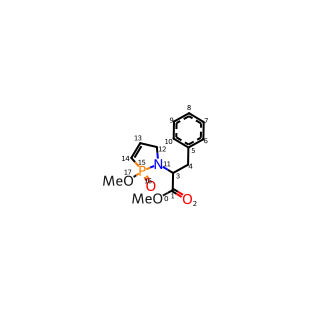 COC(=O)C(Cc1ccccc1)N1CC=CP1(=O)OC